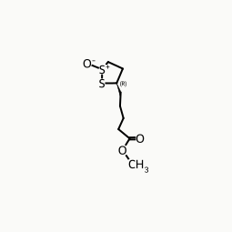 COC(=O)CCCC[C@@H]1CC[S+]([O-])S1